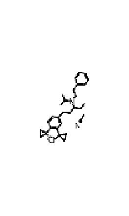 CC#N.CCC(CCc1ccc(C2(Cl)CC2)c(C2(Cl)CC2)c1)N(CCc1ccccc1)C(C)C